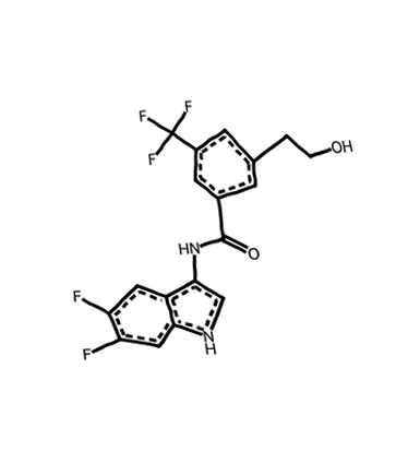 O=C(Nc1c[nH]c2cc(F)c(F)cc12)c1cc(CCO)cc(C(F)(F)F)c1